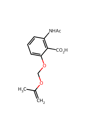 C=C(C)OCOc1cccc(NC(C)=O)c1C(=O)O